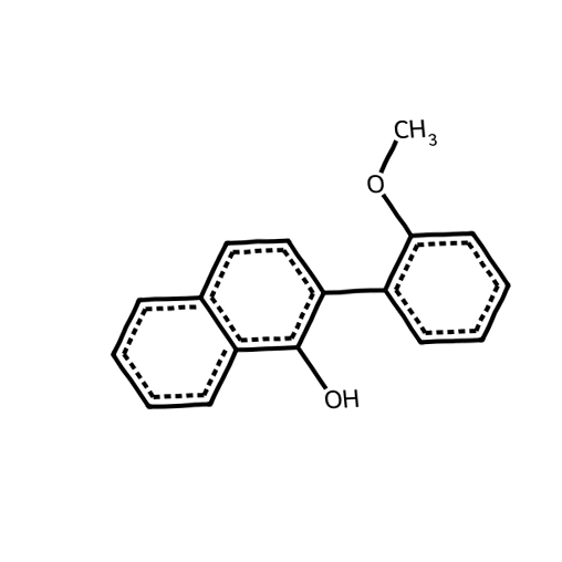 COc1ccccc1-c1ccc2ccccc2c1O